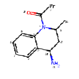 CC(C)C(=O)N1c2ccccc2[C@H](N)CC1C